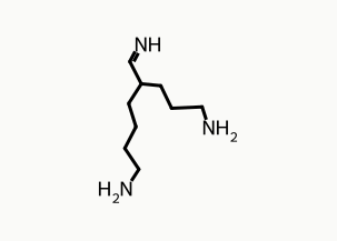 N=CC(CCCN)CCCCN